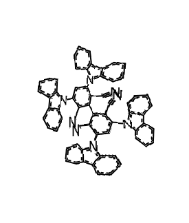 N#Cc1c(-n2c3ccccc3c3ccccc32)cc(-n2c3ccccc3c3ccccc32)c(C#N)c1-c1c(C#N)c(-n2c3ccccc3c3ccccc32)cc(-n2c3ccccc3c3ccccc32)c1C#N